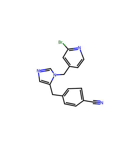 N#Cc1ccc(Cc2cncn2Cc2ccnc(Br)c2)cc1